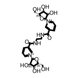 O=C(NCCNC(=O)c1ccc[n+]([C@@H]2O[C@H](CO)[C@@H](O)[C@H]2O)c1)c1ccc[n+]([C@@H]2O[C@H](CO)[C@@H](O)[C@H]2O)c1